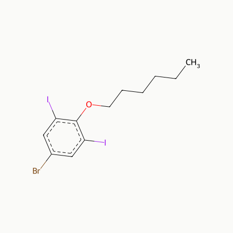 CCCCCCOc1c(I)cc(Br)cc1I